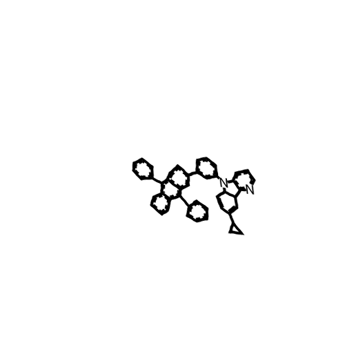 C1=CC2C(C=C1C1CC1)c1ncccc1N2c1cccc(-c2ccc3c(-c4ccccc4)c4ccccc4c(-c4ccccc4)c3c2)c1